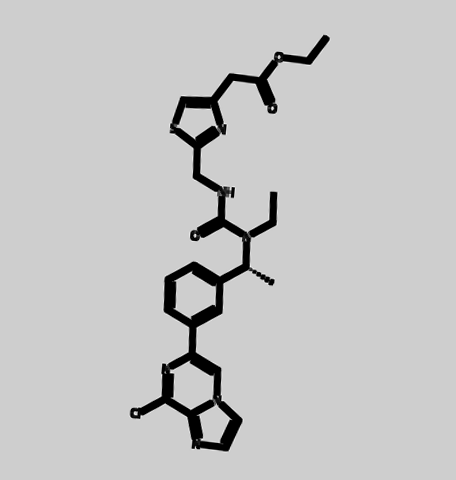 CCOC(=O)Cc1csc(CNC(=O)N(CC)[C@H](C)c2cccc(-c3cn4ccnc4c(Cl)n3)c2)n1